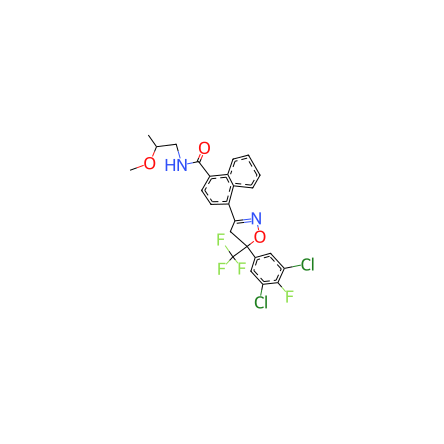 COC(C)CNC(=O)c1ccc(C2=NOC(c3cc(Cl)c(F)c(Cl)c3)(C(F)(F)F)C2)c2ccccc12